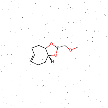 COC[C@H]1OC2CC/C=C/CC[C@H]2O1